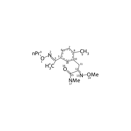 CCCO/N=C(\C)c1ccc(C)c(C/C(=N\OC)C(=O)NC)c1